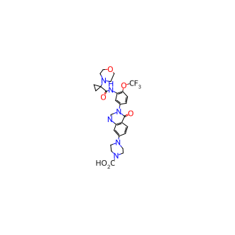 O=C(O)N1CCN(c2ccc3c(=O)n(-c4ccc(OC(F)(F)F)c(NC(=O)C5(N6CCOCC6)CC5)c4)cnc3c2)CC1